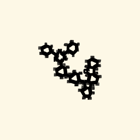 c1ccc(-c2nc(-c3ccccc3)nc(-c3cccc(-c4ccc(-n5c6ccccc6c6ccc7c8ccccc8oc7c65)cc4)c3)n2)cc1